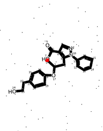 CC(Cc1c(C(=O)O)cnn1-c1ccccc1)Oc1ccc(CCO)cc1